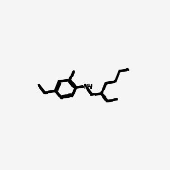 CCCCC(CC)CNc1ccc(CC)cc1C